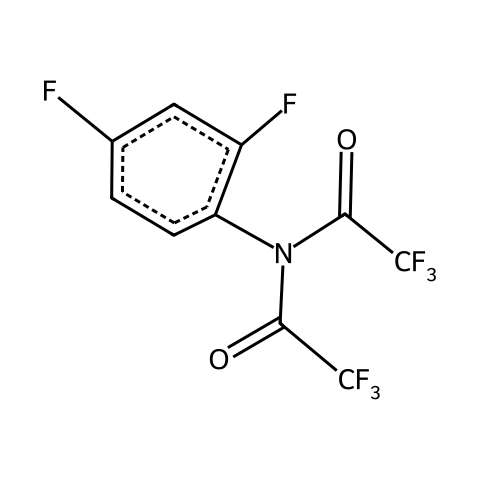 O=C(N(C(=O)C(F)(F)F)c1ccc(F)cc1F)C(F)(F)F